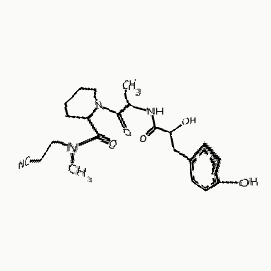 CC(NC(=O)C(O)Cc1ccc(O)cc1)C(=O)N1CCCCC1C(=O)N(C)CCC#N